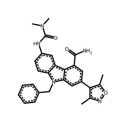 Cc1noc(C)c1-c1cc(C(N)=O)c2c3cc(NC(=O)N(C)C)ccc3n(Cc3ccccc3)c2c1